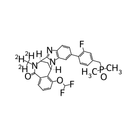 [2H]C([2H])([2H])N1C(=O)c2cccc(OC(F)F)c2[C@H]2C[C@@H]1c1nc3ccc(-c4ccc(CP(C)(C)=O)cc4F)cc3n12